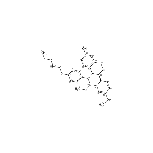 CCCNCCc1ccc(CN(CC)C2C=C(OC)C=CC2[C@@H]2CCc3cc(O)ccc3C2)cc1